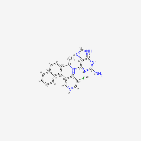 CC(Nc1nc(N)nc2[nH]cnc12)c1ccc2ccccc2c1-c1cncc(F)c1